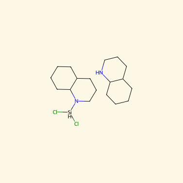 C1CCC2NCCCC2C1.Cl[SiH](Cl)N1CCCC2CCCCC21